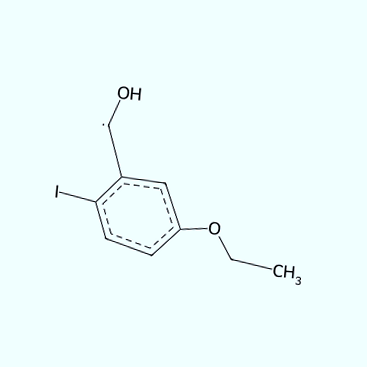 CCOc1ccc(I)c([CH]O)c1